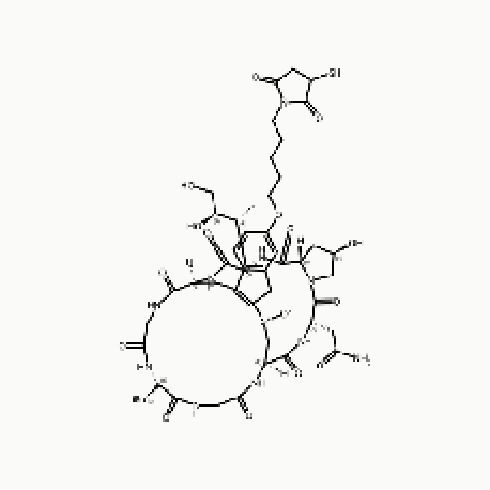 CC[C@H](C)[C@@H]1NC(=O)CNC(=O)[C@@H]2CC3=C(Cc4cc(OCCCCCN5C(=O)CC(S)C5=O)ccc43)[S+]([O-])C[C@H](NC(=O)CNC1=O)C(=O)N[C@@H](CC(N)=O)C(=O)N1C[C@H](O)C[C@H]1C(=O)N[C@@H]([C@@H](C)[C@@H](O)CO)C(=O)N2